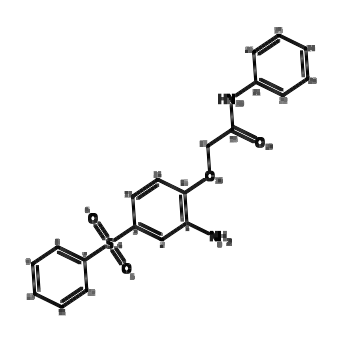 Nc1cc(S(=O)(=O)c2ccccc2)ccc1OCC(=O)Nc1ccccc1